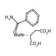 CN[C@H](CC(=O)O)C(=O)O.NC(=O)c1ccccc1